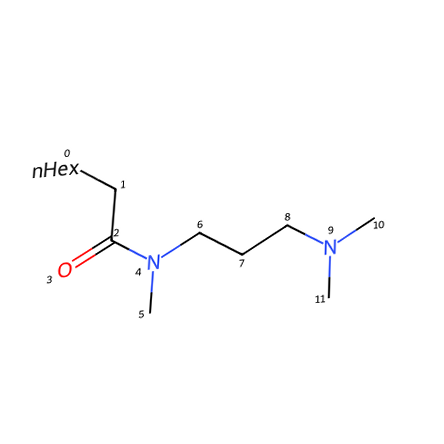 CCCCCCCC(=O)N(C)CCCN(C)C